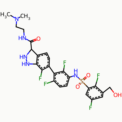 CN(C)CCNC(=O)C1NNc2c1ccc(-c1c(F)ccc(NS(=O)(=O)c3cc(F)cc(CO)c3F)c1F)c2F